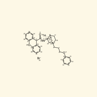 O=C(N[C@@H]1C[N+]2(CCCOc3ccccc3)CCC1CC2)C1c2ccccc2Oc2ccccc21.[Br-]